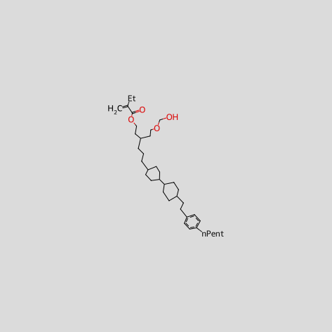 C=C(CC)C(=O)OCCC(CCCC1CCC(C2CCC(CCc3ccc(CCCCC)cc3)CC2)CC1)CCOCO